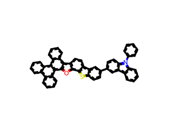 c1ccc(-n2c3ccccc3c3cc(-c4ccc5sc6c(ccc7c6oc6c7c7ccccc7c7c8ccccc8c8ccccc8c67)c5c4)ccc32)cc1